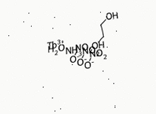 N.O.O=[N+]([O-])[O-].O=[N+]([O-])[O-].O=[N+]([O-])[O-].OCCO.[Tb+3]